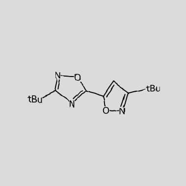 CC(C)(C)c1cc(-c2nc(C(C)(C)C)no2)on1